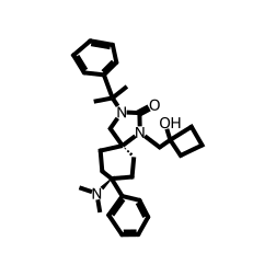 CN(C)[C@]1(c2ccccc2)CC[C@]2(CC1)CN(C(C)(C)c1ccccc1)C(=O)N2CC1(O)CCC1